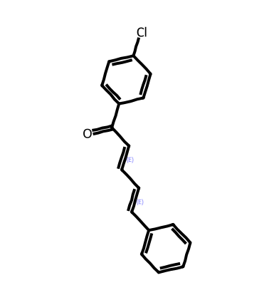 O=C(/C=C/C=C/c1ccccc1)c1ccc(Cl)cc1